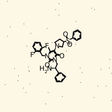 Cc1c(N2CCC(S(=O)(=O)c3ccccc3)C2)c(=O)n(C[C@H](N)c2ccccc2)c(=O)n1Cc1c(F)cccc1F